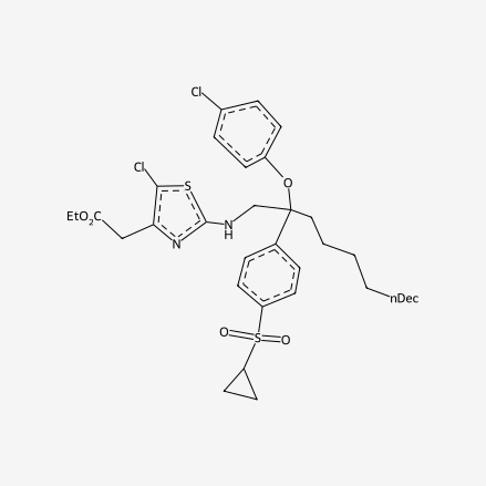 CCCCCCCCCCCCCCC(CNc1nc(CC(=O)OCC)c(Cl)s1)(Oc1ccc(Cl)cc1)c1ccc(S(=O)(=O)C2CC2)cc1